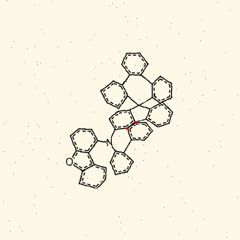 c1ccc(-c2ccccc2N(c2ccc3c(c2)-c2ccccc2C32c3ccccc3-c3ccccc3-c3ccccc32)c2cccc3oc4ccccc4c23)cc1